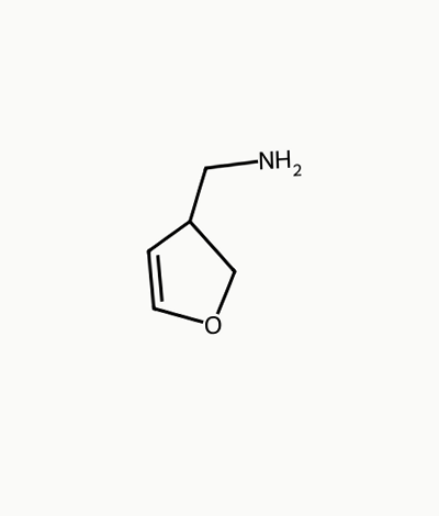 NCC1C=COC1